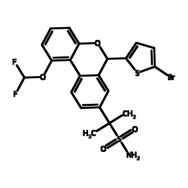 CC(C)(c1ccc2c(c1)C(c1ccc(Br)s1)Oc1cccc(OC(F)F)c1-2)S(N)(=O)=O